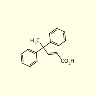 CC(/C=C/C(=O)O)(c1ccccc1)c1ccccc1